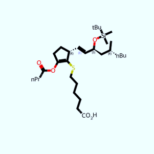 CCCC[C@@H](C)C[C@@H](/C=C/[C@H]1CCC(OC(=O)CCC)=C1SCCCCCC(=O)O)O[Si](C)(C)C(C)(C)C